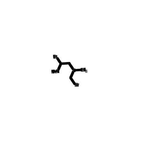 CCC(CN(C)CC(C)C)NC